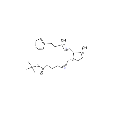 CC(C)(C)OC(=O)CCC/C=C\C[C@H]1CC[C@@H](O)C1/C=C/[C@@H](O)CCc1ccccc1